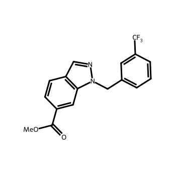 COC(=O)c1ccc2cnn(Cc3cccc(C(F)(F)F)c3)c2c1